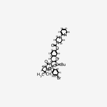 CC1(C)CS[C@@H](C(=O)N([C@@H](Cc2ccc(OC(=O)N3CCN(c4ccccn4)CC3)cc2)C(=O)OC(C)(C)C)S(=O)(=O)c2ccc(Br)cc2)N1